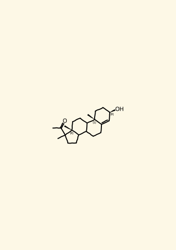 CC(=O)C1(C)CCC2C3CCC4=C[C@H](O)CC[C@@]4(C)C3CC[C@]21C